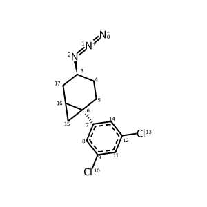 [N-]=[N+]=N[C@H]1CC[C@@]2(c3cc(Cl)cc(Cl)c3)CC2C1